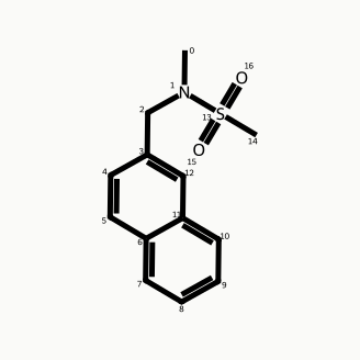 CN(Cc1ccc2ccccc2c1)S(C)(=O)=O